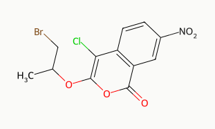 CC(CBr)Oc1oc(=O)c2cc([N+](=O)[O-])ccc2c1Cl